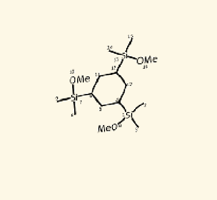 CO[Si](C)(C)C1CC([Si](C)(C)OC)CC([Si](C)(C)OC)C1